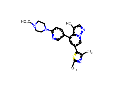 Cc1nc(C)c(-c2cc(-c3ccc(N4CCN(C(=O)O)CC4)nc3)c3c(C#N)cnn3c2)s1